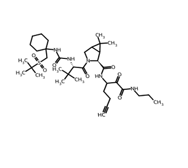 C#CCCC(NC(=O)[C@@H]1C2C(CN1C(=O)[C@@H](NC(=O)NC1(CS(=O)(=O)C(C)(C)C)CCCCC1)C(C)(C)C)C2(C)C)C(=O)C(=O)NCCC